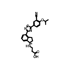 CC(C)Oc1ccc(-c2nc(-c3cccc4c3CC[C@H]4NCCC(=O)O)no2)cc1C#N